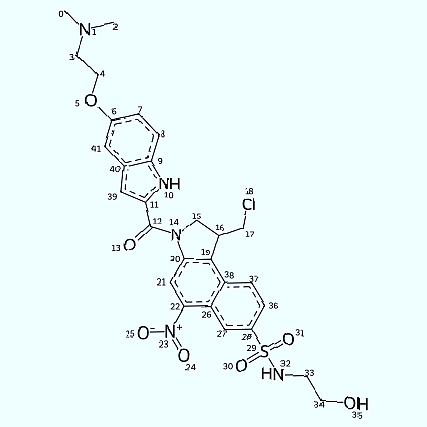 CN(C)CCOc1ccc2[nH]c(C(=O)N3CC(CCl)c4c3cc([N+](=O)[O-])c3cc(S(=O)(=O)NCCO)ccc43)cc2c1